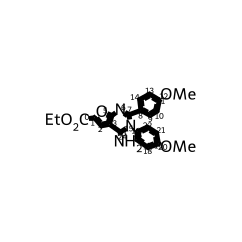 CCOC(=O)c1cc2c(o1)N=C(c1ccc(OC)cc1)N(c1ccc(OC)cc1)C2N